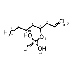 C=CCC(CCCC)OP(O)(O)=S